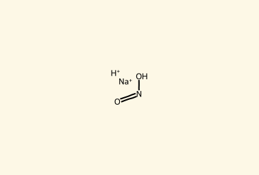 O=NO.[H+].[Na+]